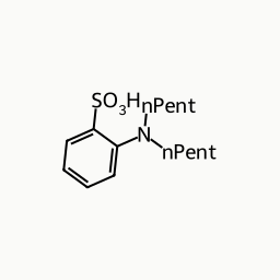 CCCCCN(CCCCC)c1ccccc1S(=O)(=O)O